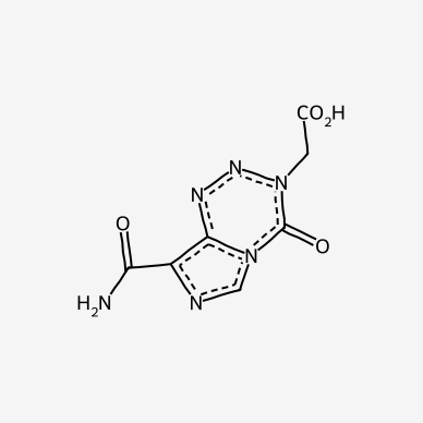 NC(=O)c1ncn2c(=O)n(CC(=O)O)nnc12